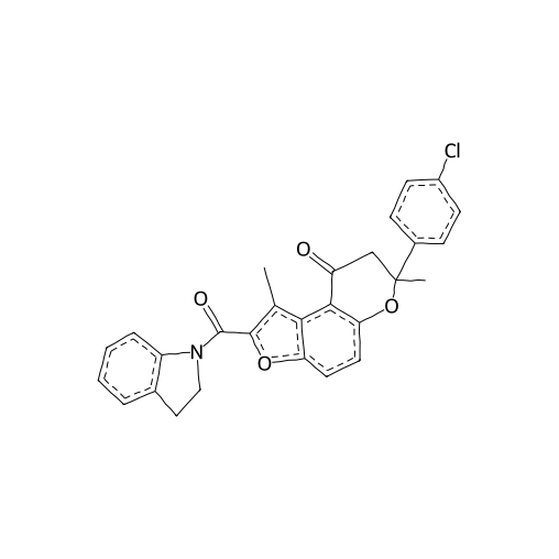 Cc1c(C(=O)N2CCc3ccccc32)oc2ccc3c(c12)C(=O)CC(C)(c1ccc(Cl)cc1)O3